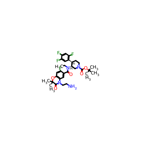 CCN(C(=O)c1cc2c(cc1F)OC(C)(C)C(=O)N2CCN)[C@H]1CN(C(=O)OC(C)(C)C)CC[C@@H]1c1cc(F)c(F)cc1F